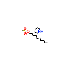 C1CCNCC1.CCCCCCCCCCOS(C)(=O)=O